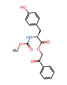 CC(C)(C)OC(=O)N[C@@H](Cc1ccc(O)cc1)C(=O)OCC(=O)c1ccccc1